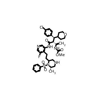 C=C(NC(=O)OC)[C@H](C(=O)Nc1cncc(F)c1CCC1CNC[C@H](C)N1S(=O)(=O)c1ccccc1)[C@@H](c1ccc(Cl)cc1)C1CCOCC1